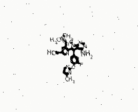 C#Cc1cnc(-c2c(-c3ccc(Oc4nccc(C)n4)c(F)c3)c3c(N)ncnc3n2C)c(CN(C)C)c1